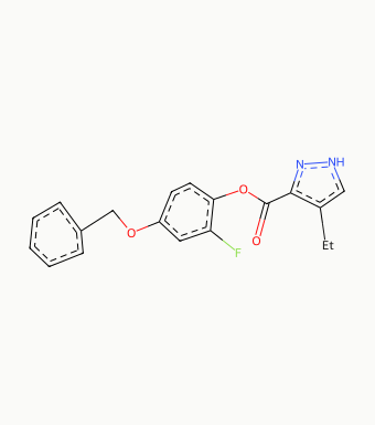 CCc1c[nH]nc1C(=O)Oc1ccc(OCc2ccccc2)cc1F